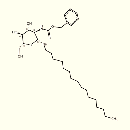 CCCCCCCCCCCCCCCCN[C@@H]1O[C@H](CO)[C@@H](O)[C@H](O)[C@H]1NC(=O)OCc1ccccc1